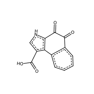 O=C1C(=O)c2[nH]cc(C(=O)O)c2-c2ccccc21